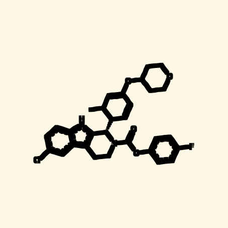 CC1C=C(OC2CCOCC2)C=CC1[C@H]1c2[nH]c3ccc(Cl)cc3c2CCN1C(=O)Oc1ccc(F)cc1